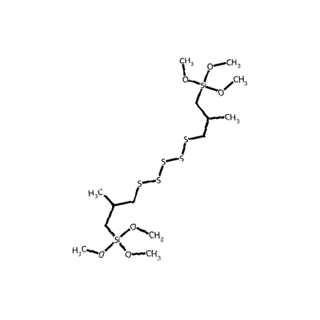 CO[Si](CC(C)CSSSSSCC(C)C[Si](OC)(OC)OC)(OC)OC